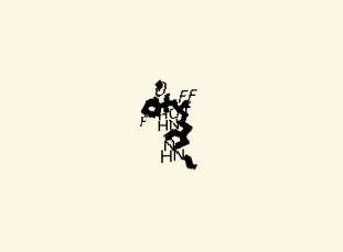 CCCNc1cc2cc(CC(O)(CC(C)(C)c3cc(F)ccc3OC)C(F)(F)F)[nH]c2cn1